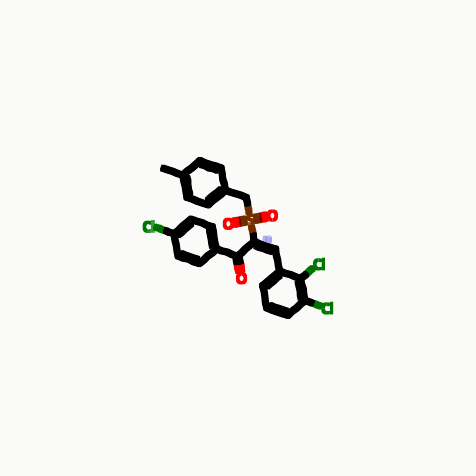 Cc1ccc(CS(=O)(=O)/C(=C/c2cccc(Cl)c2Cl)C(=O)c2ccc(Cl)cc2)cc1